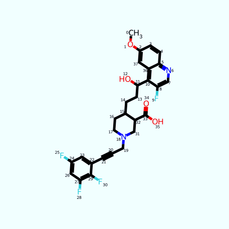 COc1ccc2ncc(F)c(C(O)CCC3CCN(CC#Cc4cc(F)cc(F)c4F)CC3C(=O)O)c2c1